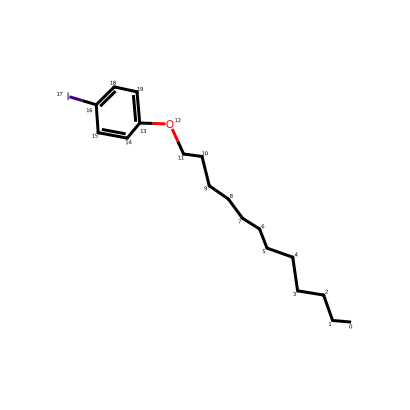 CCCCCCCCCCCCOc1ccc(I)cc1